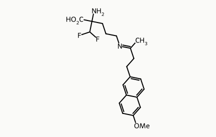 COc1ccc2cc(CCC(C)=NCCCC(N)(C(=O)O)C(F)F)ccc2c1